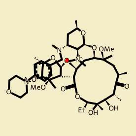 CC[C@H]1OC(=O)[C@H](C)[C@@H](O[C@H]2C[C@@](C)(OC)[C@@H](OC(C)=O)[C@H](C)O2)[C@H](C)[C@@H](O[C@@H]2O[C@H](C)C[C@@H](N(C)Cc3ccc(N4CCOCC4)cc3)[C@@H]2N(C)C)[C@@](C)(OC)C[C@@H](C)C(=O)[C@H](C)[C@@H](O)[C@]1(C)O